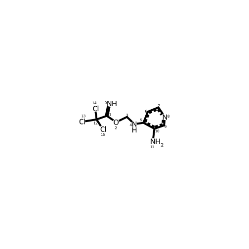 N=C(OCNc1ccncc1N)C(Cl)(Cl)Cl